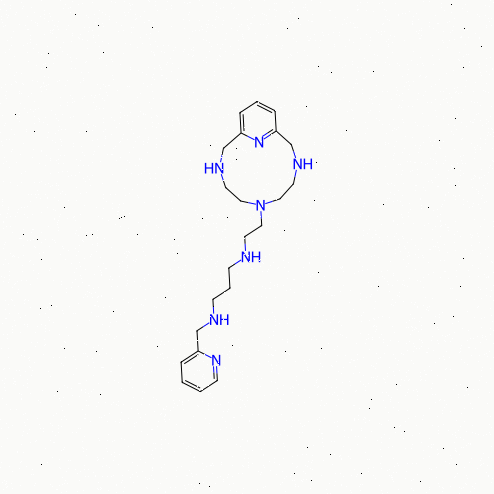 c1ccc(CNCCCNCCN2CCNCc3cccc(n3)CNCC2)nc1